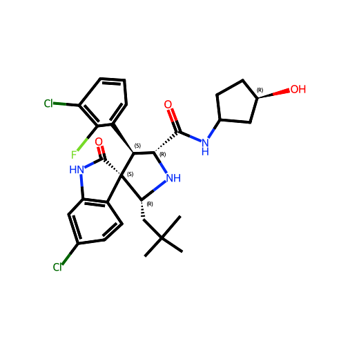 CC(C)(C)C[C@H]1N[C@@H](C(=O)NC2CC[C@@H](O)C2)[C@H](c2cccc(Cl)c2F)[C@@]12C(=O)Nc1cc(Cl)ccc12